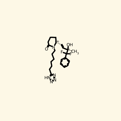 C[C@@](O)(C=C[C@H]1CCCC(=O)N1CCCCCCc1nnn[nH]1)C(F)(F)c1ccccc1